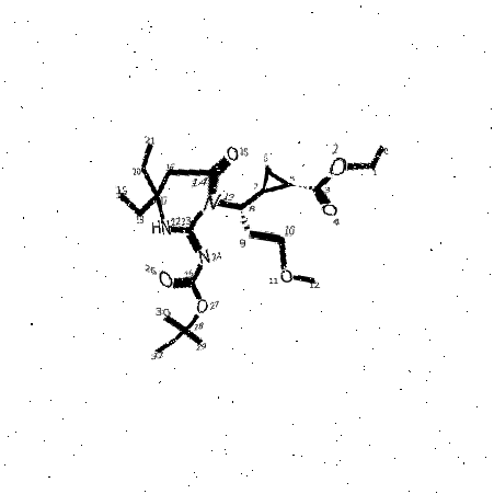 CCOC(=O)[C@H]1C[C@@H]1[C@H](CCOC)N1C(=O)CC(CC)(CC)NC1=NC(=O)OC(C)(C)C